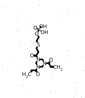 C=CC(=O)N1CN(C(=O)C=C)CN(C(=O)CCSCCOP(=O)(O)O)C1